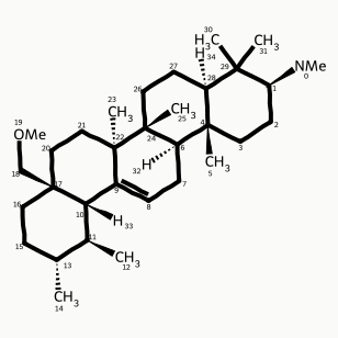 CN[C@H]1CC[C@]2(C)[C@H]3CC=C4[C@@H]5[C@@H](C)[C@H](C)CC[C@]5(COC)CC[C@@]4(C)[C@]3(C)CC[C@H]2C1(C)C